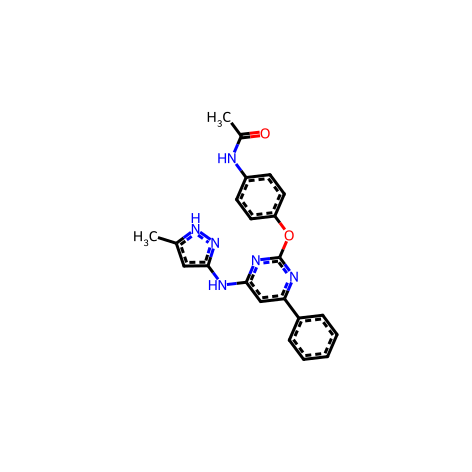 CC(=O)Nc1ccc(Oc2nc(Nc3cc(C)[nH]n3)cc(-c3ccccc3)n2)cc1